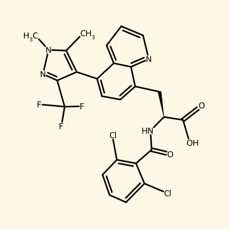 Cc1c(-c2ccc(C[C@H](NC(=O)c3c(Cl)cccc3Cl)C(=O)O)c3ncccc23)c(C(F)(F)F)nn1C